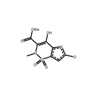 COC(=O)C1=C(O)c2sc(Cl)cc2S(=O)(=O)N1C